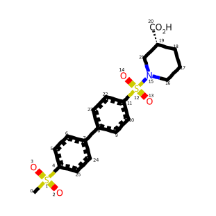 CS(=O)(=O)c1ccc(-c2ccc(S(=O)(=O)N3CCC[C@@H](C(=O)O)C3)cc2)cc1